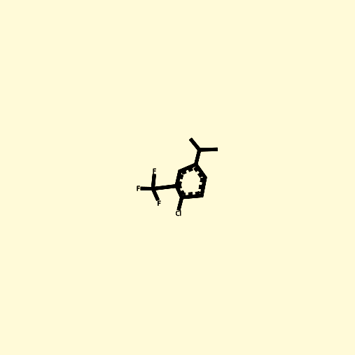 C[C](C)c1ccc(Cl)c(C(F)(F)F)c1